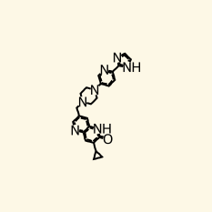 O=c1[nH]c2cc(CN3CCN(c4ccc(-c5ncc[nH]5)nc4)CC3)cnc2cc1C1CC1